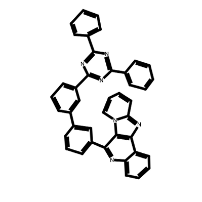 c1ccc(-c2nc(-c3ccccc3)nc(-c3cccc(-c4cccc(-c5nc6ccccc6c6nc7ccccn7c56)c4)c3)n2)cc1